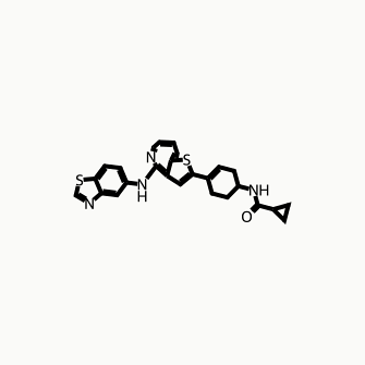 O=C(NC1CC=C(c2cc3/c(s2)=C/C=C/C=N\C=3Nc2ccc3scnc3c2)CC1)C1CC1